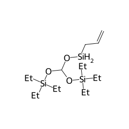 C=CC[SiH2]OC(O[Si](CC)(CC)CC)O[Si](CC)(CC)CC